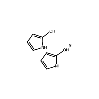 Oc1ccc[nH]1.Oc1ccc[nH]1.[B]